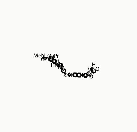 CNC(=O)COc1cc2cc(Nc3nc(N4CCC(OC5CC(N6CCC7(CCN(c8ccc9c(c8)CN([C@@H]8CCC(=O)NC8=O)C9=O)CC7)CC6)C5)CC4)ncc3Cl)ccc2n(C(C)C)c1=O